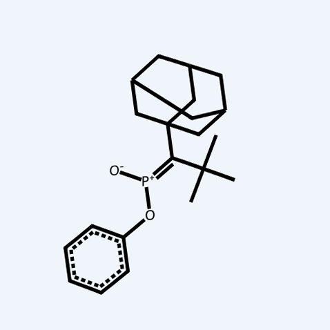 CC(C)(C)/C(=[P+](/[O-])Oc1ccccc1)C12CC3CC(CC(C3)C1)C2